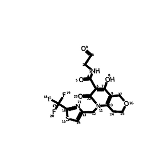 O=CCNC(=O)c1c(O)c2c(n(Cc3csc(C(F)(F)F)n3)c1=O)CCOC2